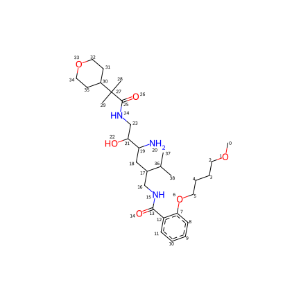 COCCCCOc1ccccc1C(=O)NCC(CC(N)C(O)CNC(=O)C(C)(C)C1CCOCC1)C(C)C